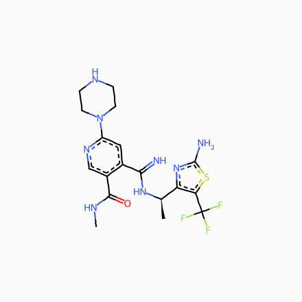 CNC(=O)c1cnc(N2CCNCC2)cc1C(=N)N[C@H](C)c1nc(N)sc1C(F)(F)F